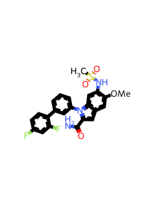 COc1cc2cc(C(N)=O)n(-c3cccc(-c4ccc(F)cc4F)c3)c2cc1NS(C)(=O)=O